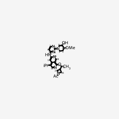 CO[C@H]1CCN(c2nccc(Nc3cc4c(C(C)C)cnc(O[C@H](C)C5CN(C(C)=O)C5)c4cn3)n2)C[C@@H]1O